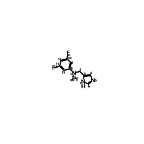 CC(C)N(Cc1cnc[nH]1)c1cc(F)cc(F)c1